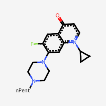 CCCCCN1CCN(c2cc3c(cc2F)c(=O)ccn3C2CC2)CC1